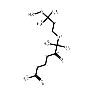 COC(C)(C)CCOC(C)(C)C(=O)CCCC(C)=O